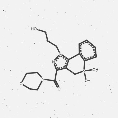 O=C(c1nn(CCCO)c2c1CS(O)(O)c1ccccc1-2)N1CCOCC1